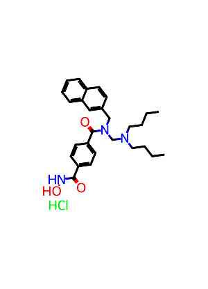 CCCCN(CCCC)CN(Cc1ccc2ccccc2c1)C(=O)c1ccc(C(=O)NO)cc1.Cl